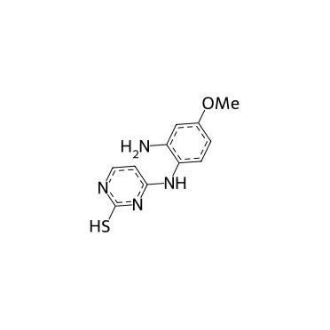 COc1ccc(Nc2ccnc(S)n2)c(N)c1